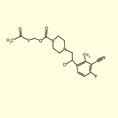 CC(=O)SCOC(=O)N1CCN(CC(Cl)c2ccc(F)c(C#N)c2C)CC1